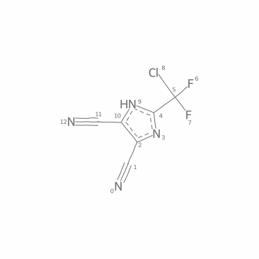 N#Cc1nc(C(F)(F)Cl)[nH]c1C#N